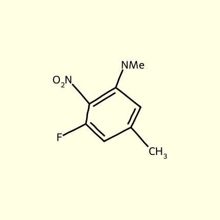 CNc1cc(C)cc(F)c1[N+](=O)[O-]